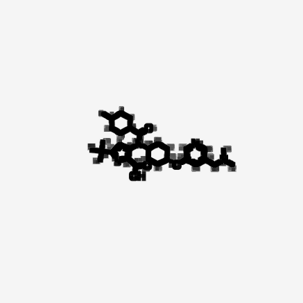 CC1CCC(C(=O)N(c2cc(C(C)(C)C)sc2C(=O)O)[C@H]2CC[C@H](Oc3cncc(CN(C)C)c3)CC2)CC1